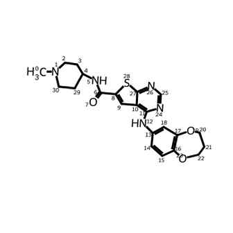 CN1CCC(NC(=O)c2cc3c(Nc4ccc5c(c4)OCCCO5)ncnc3s2)CC1